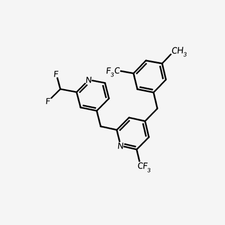 Cc1cc(Cc2cc(Cc3ccnc(C(F)F)c3)nc(C(F)(F)F)c2)cc(C(F)(F)F)c1